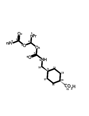 CCCC(=O)OC(CCC)OC(=O)NC[C@H]1CC[C@H](C(=O)O)CC1